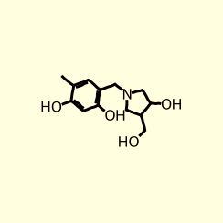 Cc1cc(CN2CC(O)C(CO)C2)c(O)cc1O